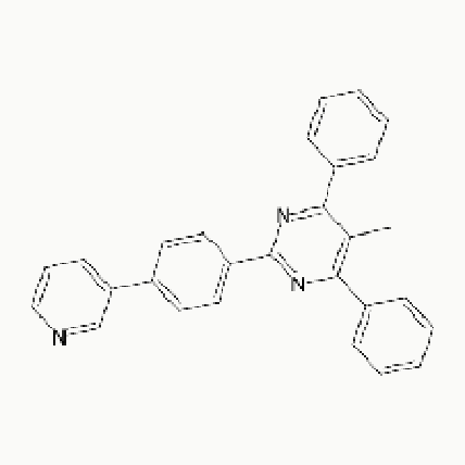 Cc1c(-c2ccccc2)nc(-c2ccc(-c3cccnc3)cc2)nc1-c1ccccc1